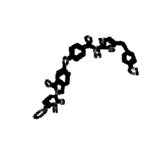 O=C1CCC(N2Cc3ccc(Oc4ccc(C(=O)Nc5ncc(Cc6ccc(Cl)cc6)s5)cc4)cc3C2=O)C(=O)N1